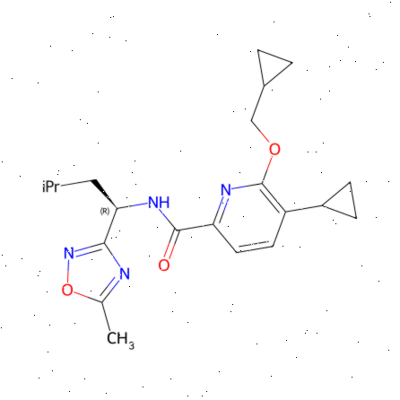 Cc1nc([C@@H](CC(C)C)NC(=O)c2ccc(C3CC3)c(OCC3CC3)n2)no1